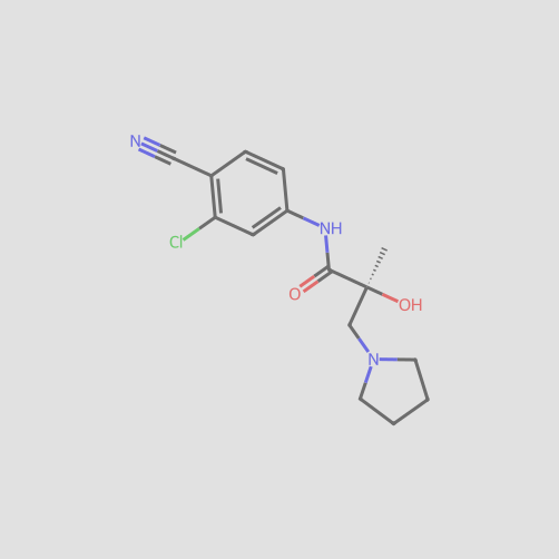 C[C@](O)(CN1CCCC1)C(=O)Nc1ccc(C#N)c(Cl)c1